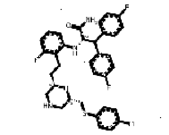 NC(=O)[C@@H](Nc1cccc(F)c1CC[C@@H]1CNC[C@@H](CSc2ccc(Cl)cc2)O1)C(c1ccc(F)cc1)c1ccc(F)cc1